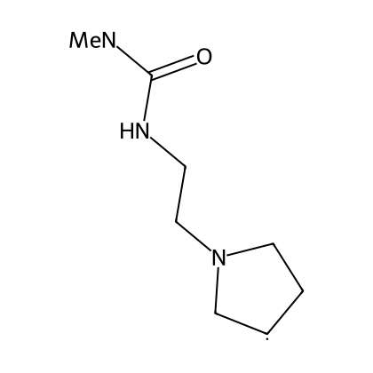 CNC(=O)NCCN1C[CH]CC1